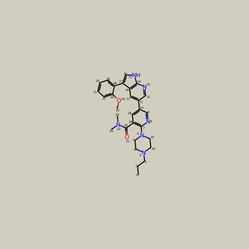 CCCN1CCN(c2ncc(-c3cnc4[nH]cc(-c5ccccc5OC)c4c3)cc2C(=O)N(C)C)CC1